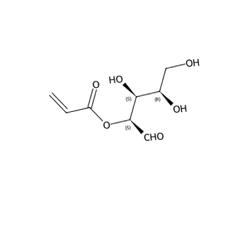 C=CC(=O)O[C@H](C=O)[C@@H](O)[C@H](O)CO